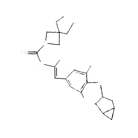 CCC1(CC)CN(C(=N)O/C(C)=C/c2cc(F)c(OC3CC4CC4C3)c(F)c2)C1